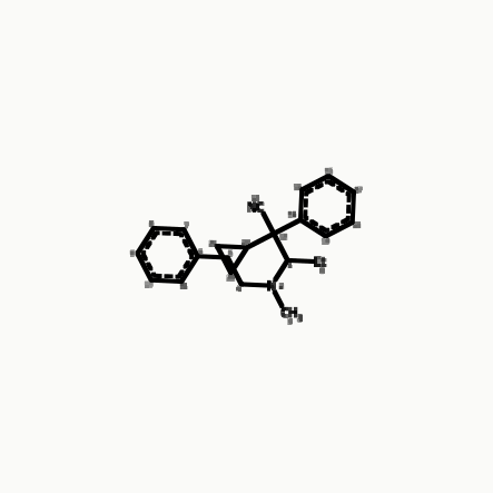 CCC(N(C)CCc1ccccc1)C(C#N)(c1ccccc1)C1CC1